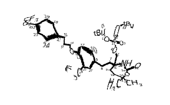 CC(C)(C)OP(=O)(OCC1(CCc2ccc(OCCCc3ccc(OC(F)(F)F)cc3)c(C(F)(F)F)c2)CCC(C)(C)OC(=O)N1)OC(C)(C)C